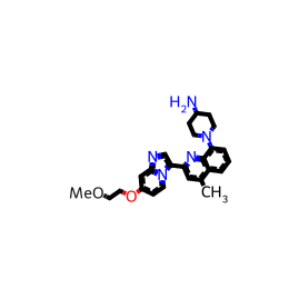 COCCOc1ccn2c(-c3cc(C)c4cccc(N5CCC(N)CC5)c4n3)cnc2c1